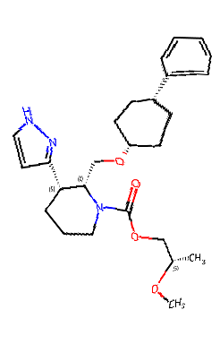 CO[C@@H](C)COC(=O)N1CCC[C@H](c2cc[nH]n2)[C@@H]1CO[C@H]1CC[C@@H](c2ccccc2)CC1